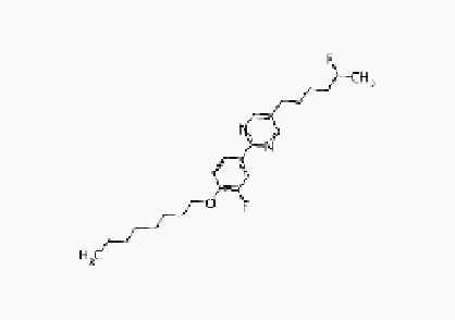 CCCCCCCCOc1ccc(-c2ncc(CCCCC(C)F)cn2)cc1F